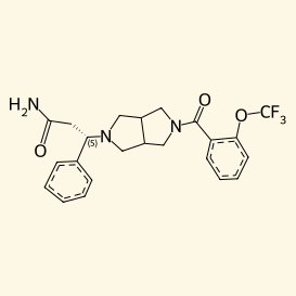 NC(=O)C[C@@H](c1ccccc1)N1CC2CN(C(=O)c3ccccc3OC(F)(F)F)CC2C1